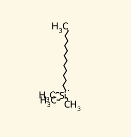 CCCCCCCCCCCCC[CH][Si](CC)(CC)CC